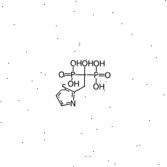 O=P(O)(O)C(O)(Cc1nccs1)P(=O)(O)O